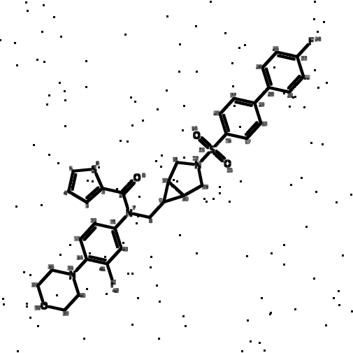 O=C(c1cccs1)N(CC1C2CN(S(=O)(=O)c3ccc(-c4ccc(F)cc4)cc3)CC12)c1ccc(N2CCOCC2)c(F)c1